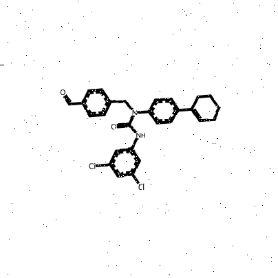 O=Cc1ccc(CN(C(=O)Nc2cc(Cl)cc(Cl)c2)c2ccc(C3=CCCCC3)cc2)cc1